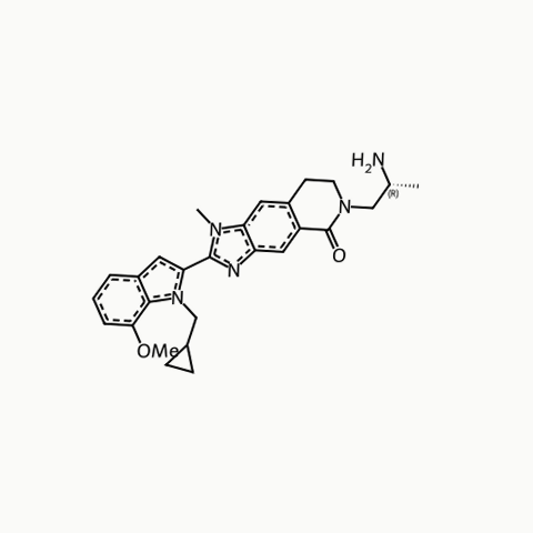 COc1cccc2cc(-c3nc4cc5c(cc4n3C)CCN(C[C@@H](C)N)C5=O)n(CC3CC3)c12